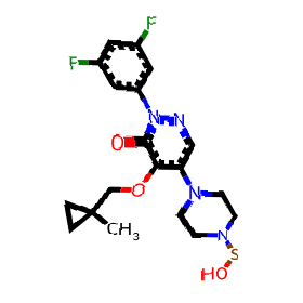 CC1(COc2c(N3CCN(SO)CC3)cnn(-c3cc(F)cc(F)c3)c2=O)CC1